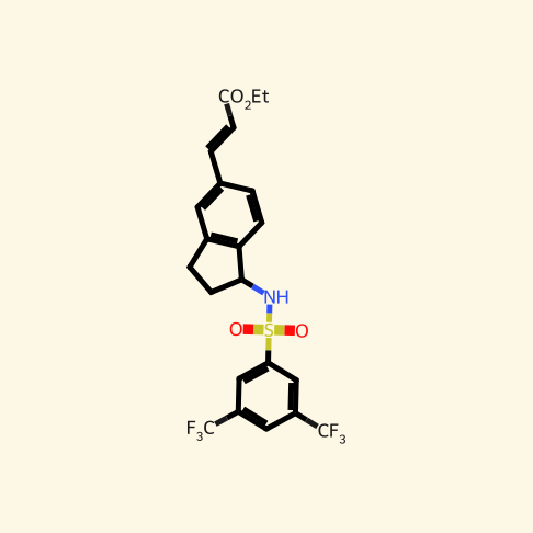 CCOC(=O)/C=C/c1ccc2c(c1)CCC2NS(=O)(=O)c1cc(C(F)(F)F)cc(C(F)(F)F)c1